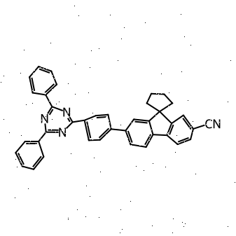 N#Cc1ccc2c(c1)C1(CCCC1)c1cc(-c3ccc(-c4nc(-c5ccccc5)nc(-c5ccccc5)n4)cc3)ccc1-2